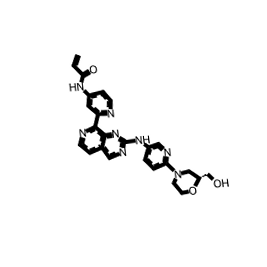 C=CC(=O)Nc1ccnc(-c2nccc3cnc(Nc4ccc(N5CCO[C@@H](CO)C5)nc4)nc23)c1